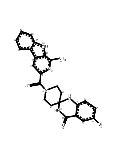 Cc1nc(C(=O)N2CCC3(CC2)NC(=O)c2cc(Br)ccc2N3)cc2c1[nH]c1ccccc12